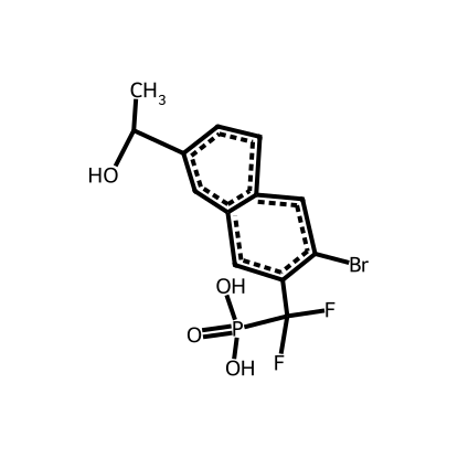 CC(O)c1ccc2cc(Br)c(C(F)(F)P(=O)(O)O)cc2c1